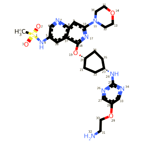 CS(=O)(=O)Nc1cnc2cc(N3CCOCC3)nc(O[C@H]3CC[C@@H](Nc4ncc(OCCN)cn4)CC3)c2c1